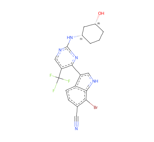 N#Cc1ccc2c(-c3nc(N[C@H]4CCC[C@@H](O)C4)ncc3C(F)(F)F)c[nH]c2c1Br